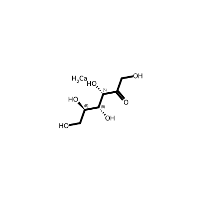 O=C(CO)[C@@H](O)[C@H](O)[C@H](O)CO.[CaH2]